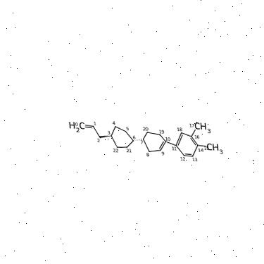 C=CC[C@H]1CC[C@H](C2CC=C(c3ccc(C)c(C)c3)CC2)CC1